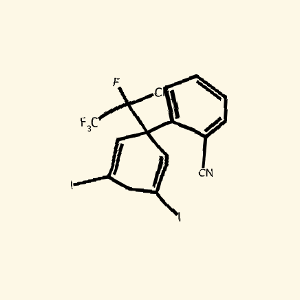 N#Cc1ccccc1C1(C(F)(C(F)(F)F)C(F)(F)F)C=C(I)[CH]C(I)=C1